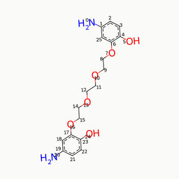 Nc1ccc(O)c(OCCOCCOCCOc2cc(N)ccc2O)c1